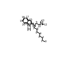 CCCCCCCCN(CCN(C)C)c1cc2ccccc2[nH]1